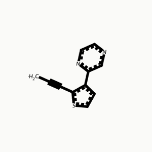 [CH2]C#Cc1sccc1-c1cnccn1